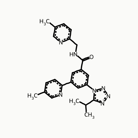 Cc1ccc(CNC(=O)c2cc(-c3ccc(C)cn3)cc(-n3nnnc3C(C)C)c2)nc1